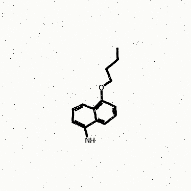 CCCCOc1cccc2c([NH])cccc12